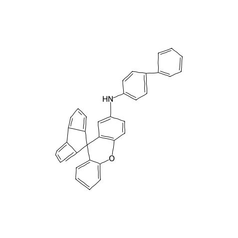 c1ccc(-c2ccc(Nc3ccc4c(c3)C3(c5ccccc5O4)c4ccccc4-c4ccccc43)cc2)cc1